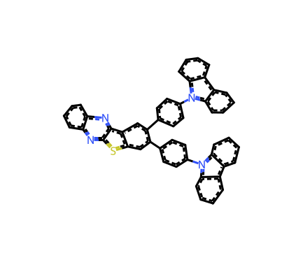 c1ccc2nc3c(nc2c1)sc1cc(-c2ccc(-n4c5ccccc5c5ccccc54)cc2)c(-c2ccc(-n4c5ccccc5c5ccccc54)cc2)cc13